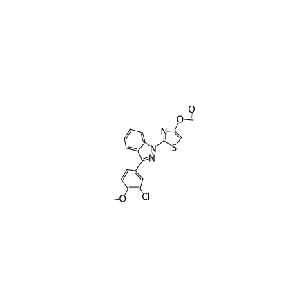 COc1ccc(-c2nn(-c3nc(OC=O)cs3)c3ccccc23)cc1Cl